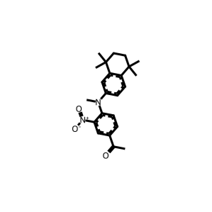 CC(=O)c1ccc(N(C)c2ccc3c(c2)C(C)(C)CCC3(C)C)c([N+](=O)[O-])c1